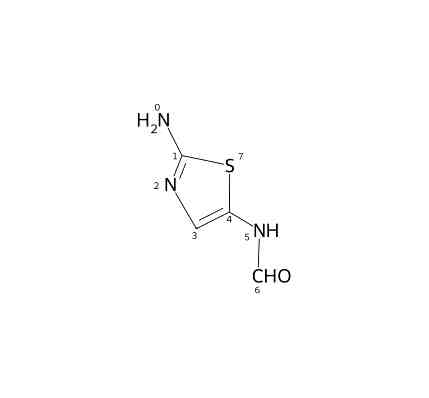 Nc1ncc(NC=O)s1